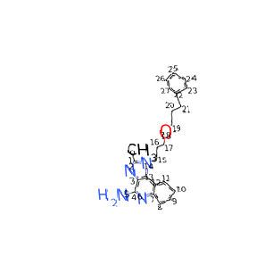 Cc1nc2c(N)nc3ccccc3c2n1CCCOCCCc1ccccc1